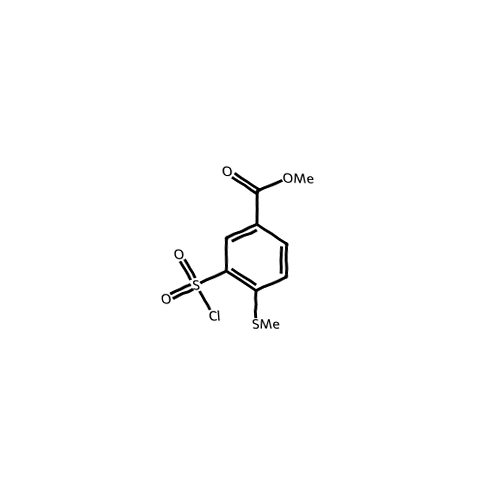 COC(=O)c1ccc(SC)c(S(=O)(=O)Cl)c1